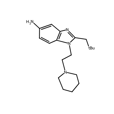 CC(C)(C)Cc1nc2cc(N)ccc2n1CCN1CCCCC1